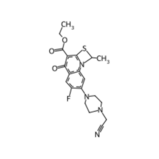 CCOC(=O)c1c2n(c3cc(N4CCN(CC#N)CC4)c(F)cc3c1=O)C(C)S2